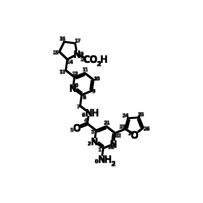 Nc1nc(C(=O)NCc2cccc(CC3CCCN3C(=O)O)n2)cc(-c2ccco2)n1